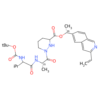 C=Cc1cc2cc([C@@H](C)OC(=O)C3CCCN(C(=O)[C@H](C)NC(=O)C(NC(=O)OC(C)(C)C)C(C)C)N3)ccc2cn1